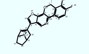 C[C@@H](Oc1c(N)ncc2c(C3=CC4CCC(C3)N4C)coc12)c1c(Cl)ccc(F)c1Cl